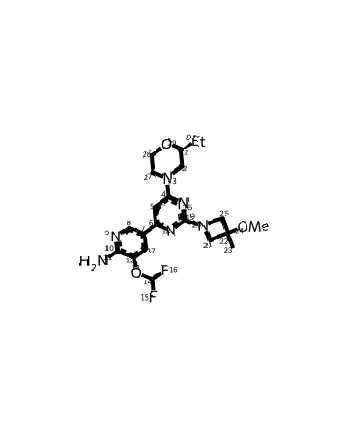 CC[C@H]1CN(c2cc(-c3cnc(N)c(OC(F)F)c3)nc(N3CC(C)(OC)C3)n2)CCO1